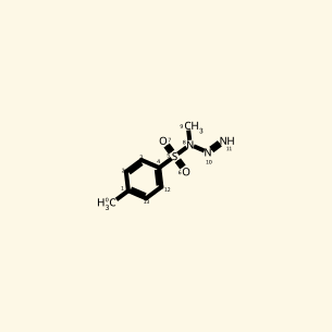 Cc1ccc(S(=O)(=O)N(C)N=N)cc1